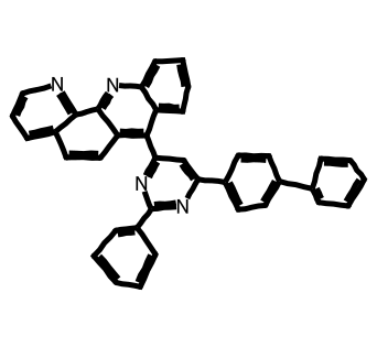 c1ccc(-c2ccc(-c3cc(-c4c5ccccc5nc5c4ccc4cccnc45)nc(-c4ccccc4)n3)cc2)cc1